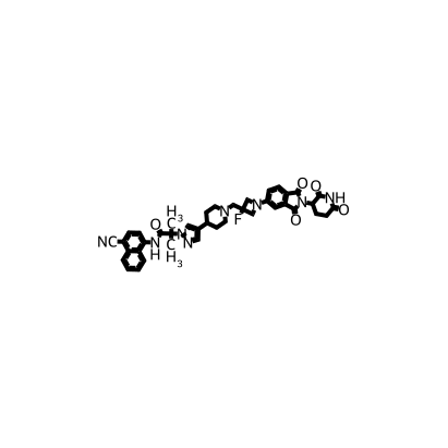 CC(C)(C(=O)Nc1ccc(C#N)c2ccccc12)n1cc(C2CCN(CC3(F)CN(c4ccc5c(c4)C(=O)N(C4CCC(=O)NC4=O)C5=O)C3)CC2)cn1